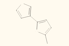 Cc1[c]cc(-c2ccsc2)o1